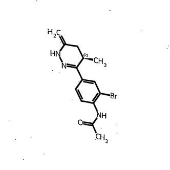 C=C1C[C@@H](C)C(c2ccc(NC(C)=O)c(Br)c2)=NN1